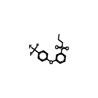 CCCS(=O)(=O)c1cccc(Oc2ccc(C(F)(F)F)cc2)c1